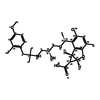 COc1ccc(CC(C)(C)NC[C@@H](O)CO[C@H](C)c2c(Cl)cc(C)c3c2[C@@H]2[C@H](O3)[C@H]2C(=O)O)c(F)c1